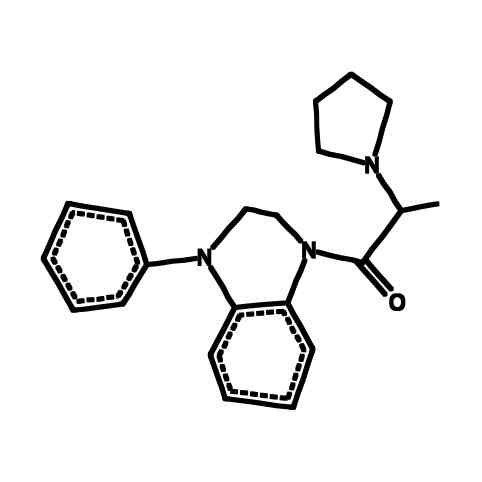 CC(C(=O)N1CCN(c2ccccc2)c2ccccc21)N1CCCC1